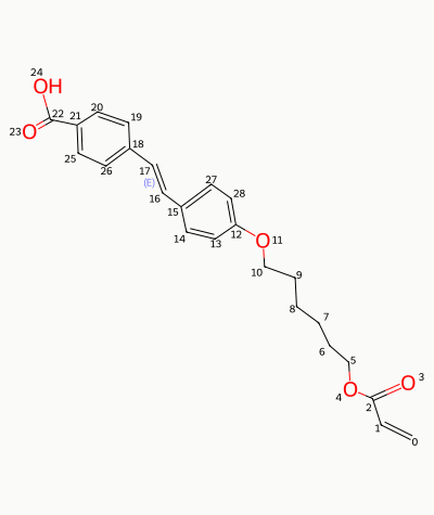 C=CC(=O)OCCCCCCOc1ccc(/C=C/c2ccc(C(=O)O)cc2)cc1